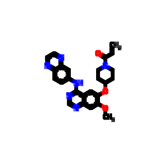 C=CC(=O)N1CCC(Oc2cc3c(Nc4ccc5nccnc5c4)ncnc3cc2OC)CC1